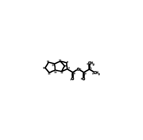 C=C(C)C(=O)OC(=O)C1CC2CC1C1CCCC21